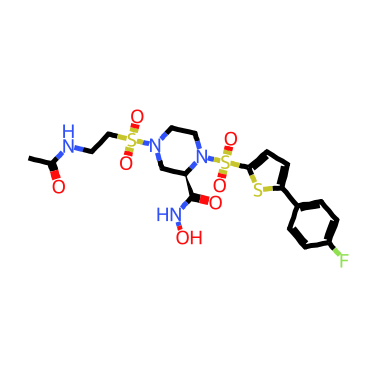 CC(=O)NCCS(=O)(=O)N1CCN(S(=O)(=O)c2ccc(-c3ccc(F)cc3)s2)[C@@H](C(=O)NO)C1